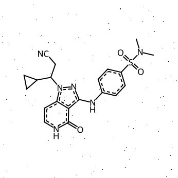 CN(C)S(=O)(=O)c1ccc(Nc2nn(C(CC#N)C3CC3)c3cc[nH]c(=O)c23)cc1